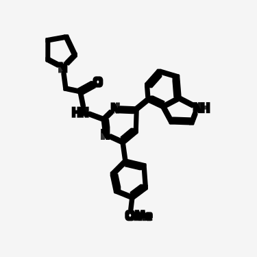 COc1ccc(-c2cc(-c3cccc4[nH]ccc34)nc(NC(=O)CN3CCCC3)n2)cc1